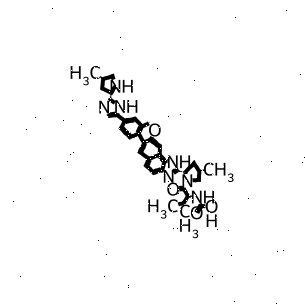 CC(C)[C@H](NC(=O)O)C(=O)N1C[C@@H](C)C[C@H]1c1nc2ccc3cc4c(cc3c2[nH]1)OCc1cc(-c2cnc([C@@H]3C[C@H](C)CN3)[nH]2)ccc1-4